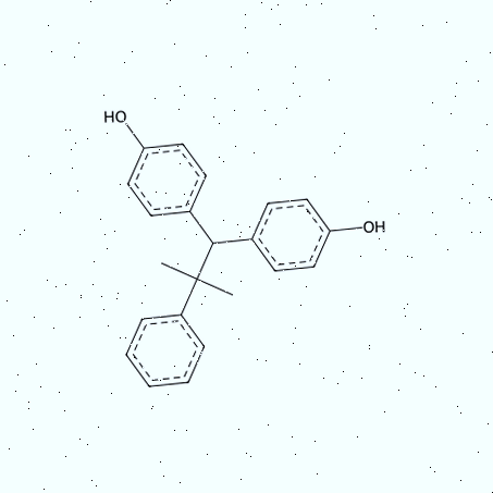 CC(C)(c1ccccc1)C(c1ccc(O)cc1)c1ccc(O)cc1